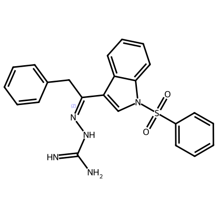 N=C(N)N/N=C(/Cc1ccccc1)c1cn(S(=O)(=O)c2ccccc2)c2ccccc12